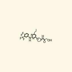 CCCc1cc(N2CCC[C@@H](NC(=O)CO)C2)nc(Nc2ccc(F)c(C(F)(F)F)c2)n1